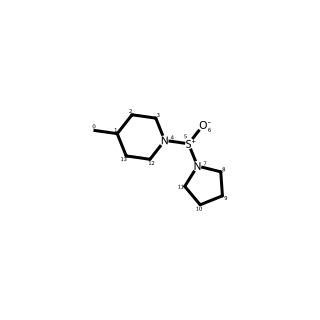 CC1CCN([S+]([O-])N2CCCC2)CC1